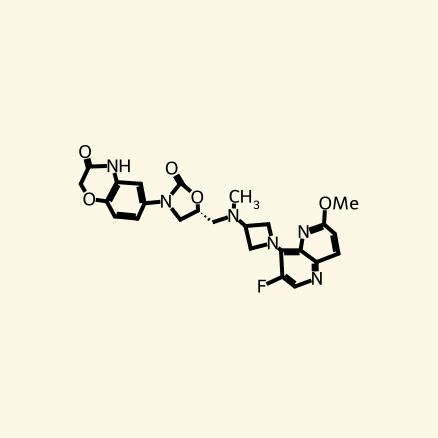 COc1ccc2ncc(F)c(N3CC(N(C)C[C@@H]4CN(c5ccc6c(c5)NC(=O)CO6)C(=O)O4)C3)c2n1